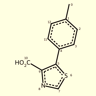 Cc1ccc(-c2scnc2C(=O)O)cc1